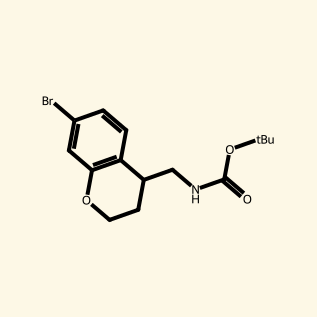 CC(C)(C)OC(=O)NCC1CCOc2cc(Br)ccc21